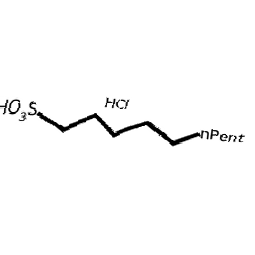 CCCCCCCCCCS(=O)(=O)O.Cl